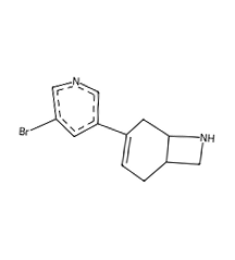 Brc1cncc(C2=CCC3CNC3C2)c1